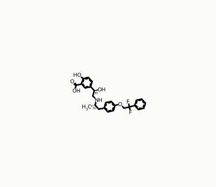 C[C@@H](Cc1ccc(OCC(F)(F)c2ccccc2)cc1)NC[C@H](O)c1ccc(O)c(C(=O)O)c1